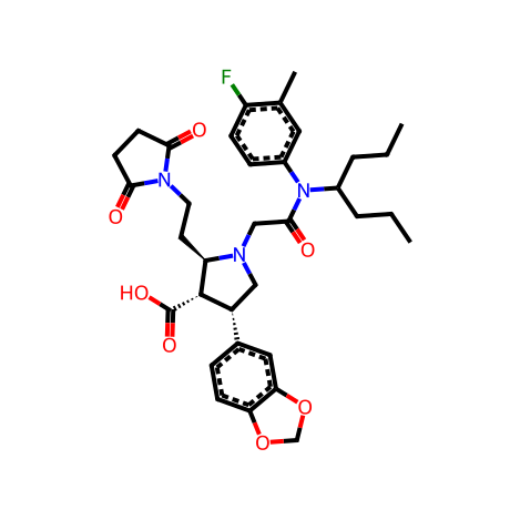 CCCC(CCC)N(C(=O)CN1C[C@H](c2ccc3c(c2)OCO3)[C@H](C(=O)O)[C@H]1CCN1C(=O)CCC1=O)c1ccc(F)c(C)c1